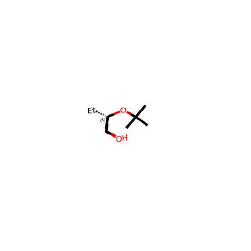 CC[C@@H](CO)OC(C)(C)C